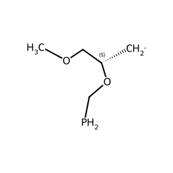 [CH2][C@@H](COC)OCP